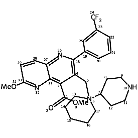 COC(=O)c1c(C[N+]2(C3CCNCC3)CCCCC2)c(-c2cccc(C(F)(F)F)c2)nc2ccc(OC)nc12